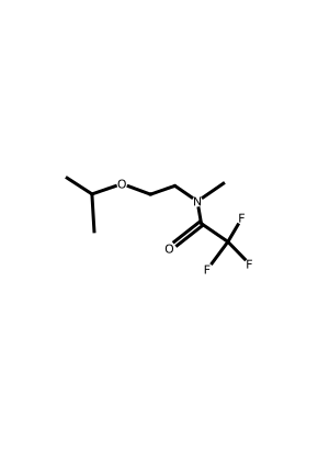 CC(C)OCCN(C)C(=O)C(F)(F)F